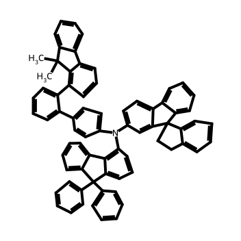 CC1(C)c2ccccc2-c2cccc(-c3ccccc3-c3ccc(N(c4ccc5c(c4)C4(CCc6ccccc64)c4ccccc4-5)c4cccc5c4-c4ccccc4C5(c4ccccc4)c4ccccc4)cc3)c21